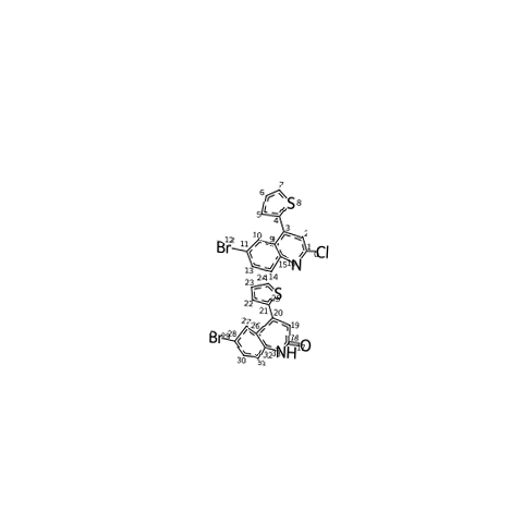 Clc1cc(-c2cccs2)c2cc(Br)ccc2n1.O=c1cc(-c2cccs2)c2cc(Br)ccc2[nH]1